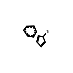 [Ti][CH]1C=CC=C1.c1ccccc1